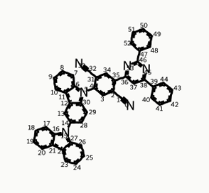 N#Cc1cc(-n2c3ccccc3c3cc(-n4c5ccccc5c5ccccc54)ccc32)c(C#N)cc1-c1cc(-c2ccccc2)nc(-c2ccccc2)n1